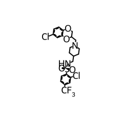 O=S(=O)(NCC1CCN(CC2COc3ccc(Cl)cc3O2)CC1)c1ccc(C(F)(F)F)cc1Cl